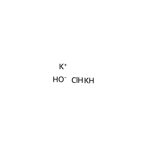 Cl.[K+].[KH].[OH-]